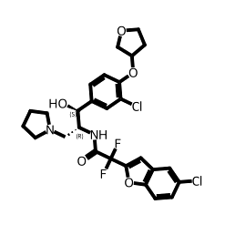 O=C(N[C@H](CN1CCCC1)[C@@H](O)c1ccc(OC2CCOC2)c(Cl)c1)C(F)(F)c1cc2cc(Cl)ccc2o1